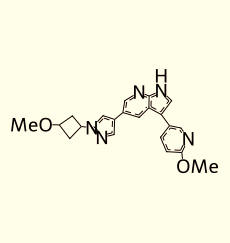 COc1ccc(-c2c[nH]c3ncc(-c4cnn(C5CC(OC)C5)c4)cc23)cn1